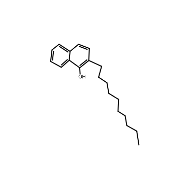 CCCCCCCCCCc1ccc2ccccc2c1O